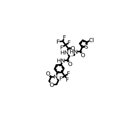 O=C(NC[C@@H](NC(=O)C(F)(F)C(F)F)C(=O)Nc1ccc(N2CCOCC2=O)c(C(F)(F)F)c1)c1ccc(Cl)s1